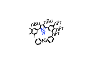 CCCCC1=C(c2cc(C)c(C)c(C)c2)[N+](=[N-])C(c2cc(CCC)c(CCC)c(CCC)c2)=C1CCCC.c1cc[c]([Ni][c]2ccccc2)cc1